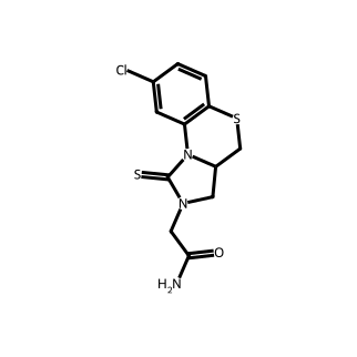 NC(=O)CN1CC2CSc3ccc(Cl)cc3N2C1=S